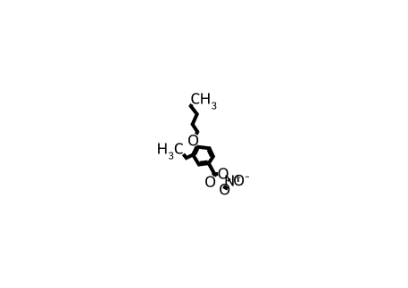 CCCCCOc1ccc(C(=O)O[N+](=O)[O-])cc1CC